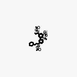 CC/C(=N\OC(C)=O)c1cc([N+](=O)[O-])c2c(c1)c1cc(/C(CCC3CCCCC3)=N/OC(C)=O)ccc1n2CC